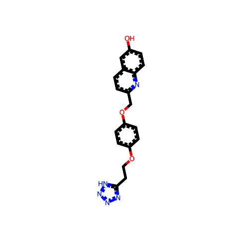 Oc1ccc2nc(COc3ccc(OCCc4nnn[nH]4)cc3)ccc2c1